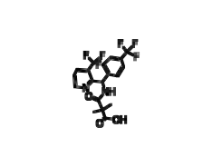 CC(C)(C(=O)O)C(=O)NC(c1ccc(C(F)(F)F)cc1)c1ncccc1C(F)(F)F